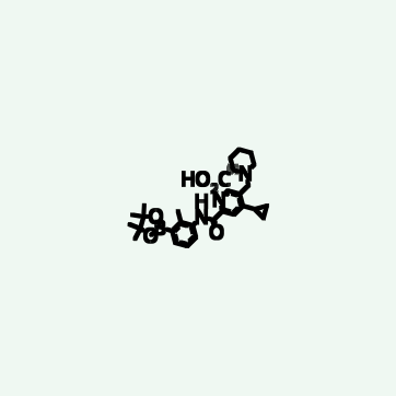 Cc1c(NC(=O)c2cc(C3CC3)c(CN3CCCC[C@H]3C(=O)O)cn2)cccc1B1OC(C)(C)C(C)(C)O1